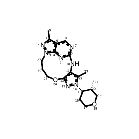 Cc1nn2c3nc(ncc13)Nc1c(nn([C@H]3CCOC[C@H]3C)c1C)OCCC2